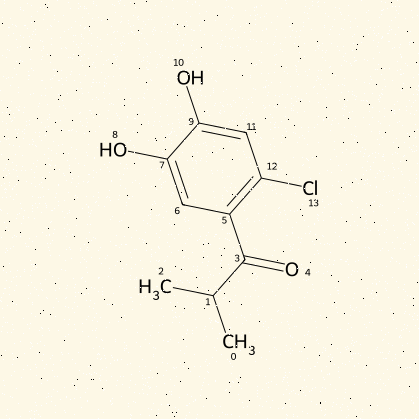 CC(C)C(=O)c1cc(O)c(O)cc1Cl